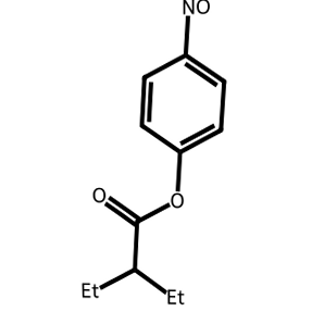 CCC(CC)C(=O)Oc1ccc(N=O)cc1